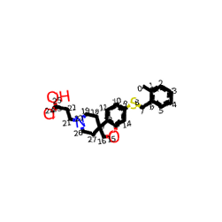 Cc1ccccc1CSc1ccc2c(c1)OCC21CCN(CCC(=O)O)CC1